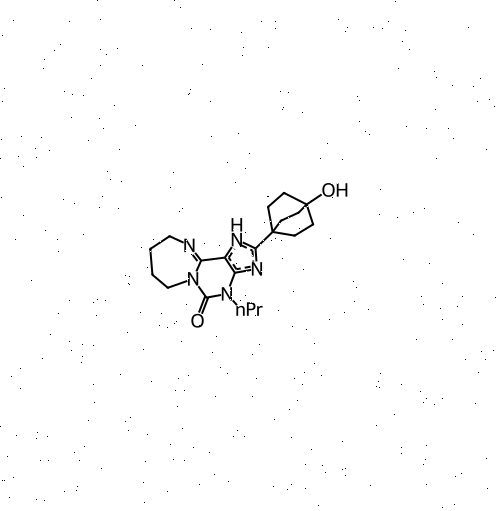 CCCN1C(=O)N2CCCCN=C2c2[nH]c(C34CCC(O)(CC3)CC4)nc21